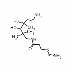 CC(C)(CNC(=O)CCSSN)C(O)C(C)(C)CON